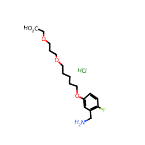 Cl.NCc1cc(OCCCCCOCCCOCC(=O)O)ccc1F